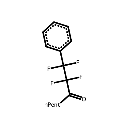 CCCCCC(=O)C(F)(F)C(F)(F)c1ccccc1